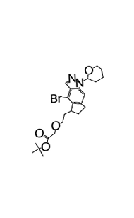 CC(C)(C)OC(=O)COCCC1CCc2cc3c(cnn3C3CCCCO3)c(Br)c21